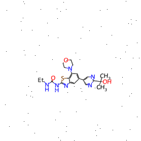 CCNC(=O)Nc1nc2cc(-c3cnc(C(C)(C)O)nc3)cc(N3CCOCC3)c2s1